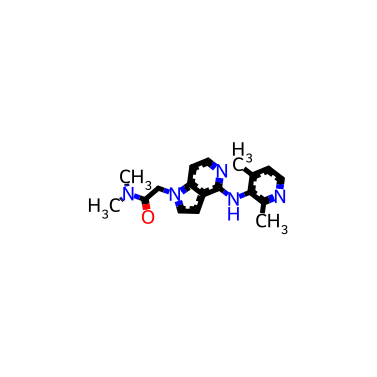 Cc1ccnc(C)c1Nc1nccc2c1ccn2CC(=O)N(C)C